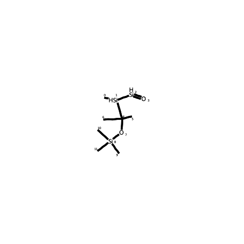 C[SiH]([SiH]=O)C(C)(C)O[Si](C)(C)C